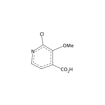 COc1c(C(=O)O)ccnc1Cl